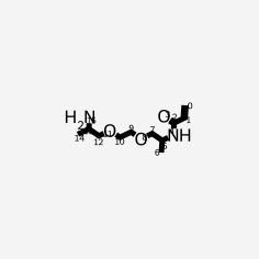 C=CC(=O)NC(C)COCCOCC(C)N